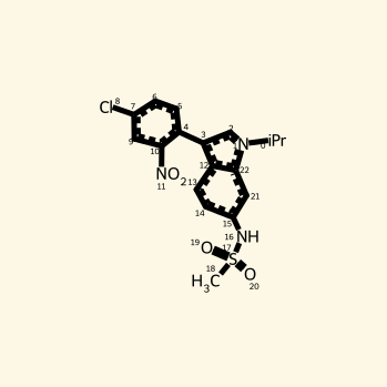 CC(C)n1cc(-c2ccc(Cl)cc2[N+](=O)[O-])c2ccc(NS(C)(=O)=O)cc21